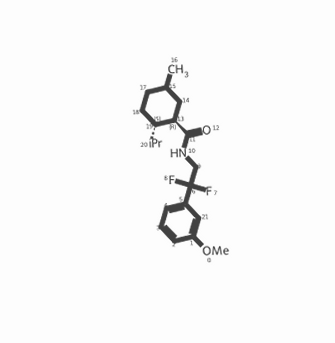 COc1cccc(C(F)(F)CNC(=O)[C@@H]2CC(C)CC[C@H]2C(C)C)c1